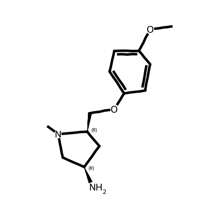 COc1ccc(OC[C@H]2C[C@@H](N)CN2C)cc1